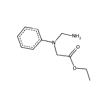 CCOC(=O)CN(CN)c1ccccc1